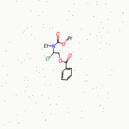 CCN(C(=O)OC(C)C)C(Cl)COC(=O)c1ccccc1